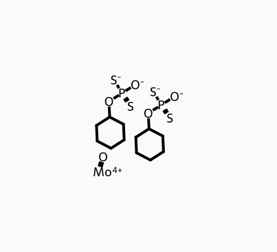 [O-]P(=S)([S-])OC1CCCCC1.[O-]P(=S)([S-])OC1CCCCC1.[O]=[Mo+4]